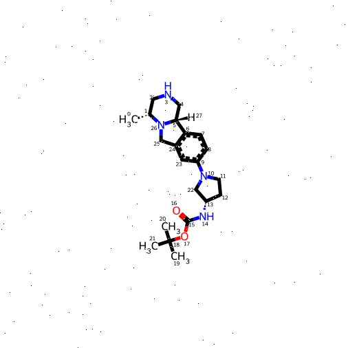 C[C@@H]1CNC[C@@H]2c3ccc(N4CC[C@H](NC(=O)OC(C)(C)C)C4)cc3CN12